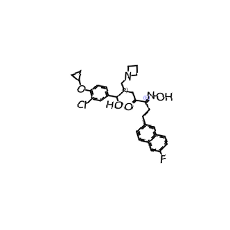 O=C(C[C@H](CN1CCC1)C(O)c1ccc(OC2CC2)c(Cl)c1)/C(CCc1ccc2cc(F)ccc2c1)=N/O